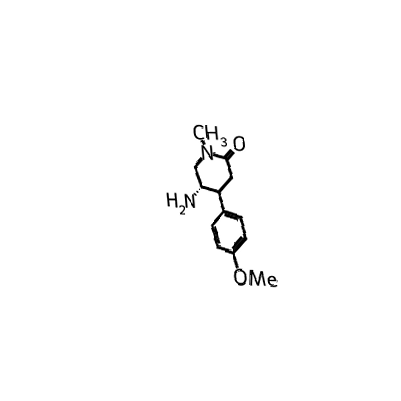 COc1ccc(C2CC(=O)N(C)C[C@H]2N)cc1